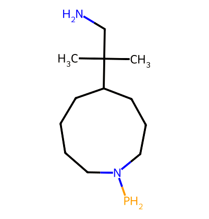 CC(C)(CN)C1CCCCN(P)CCC1